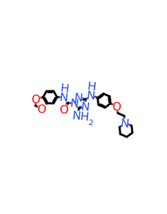 Nc1nc(Nc2ccc(OCCN3CCCCC3)cc2)nn1C(=O)Nc1ccc2c(c1)OCO2